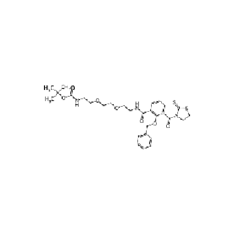 CC(C)(C)OC(=O)NCCOCCOCCNC(=O)c1cccc(C(=O)N2CCSC2=S)c1OCc1ccccc1